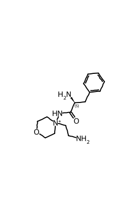 NCC[N+]1(NC(=O)[C@@H](N)Cc2ccccc2)CCOCC1